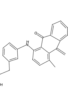 C=C1c2ccccc2C(=O)c2c(Nc3cccc(CCO)c3)ccc(C)c21